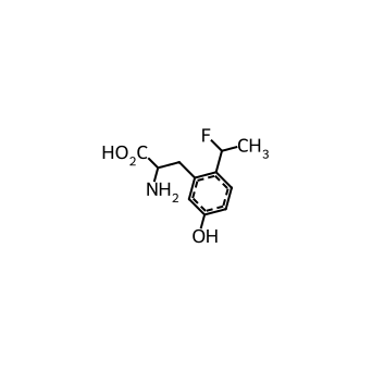 CC(F)c1ccc(O)cc1CC(N)C(=O)O